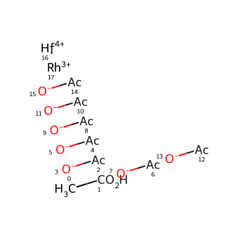 CC(=O)O.CC(=O)[O-].CC(=O)[O-].CC(=O)[O-].CC(=O)[O-].CC(=O)[O-].CC(=O)[O-].CC(=O)[O-].[Hf+4].[Rh+3]